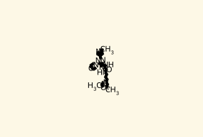 C[C@@H]1CN(CCCNC(=O)c2nc3c(N4CCOCC4)nc(-c4cnn(C)c4)nc3[nH]2)C[C@H](C)O1